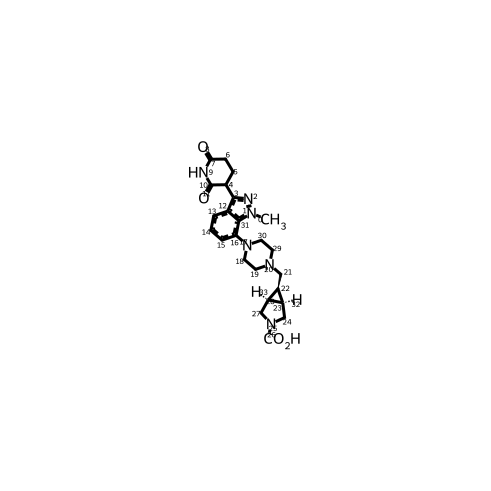 Cn1nc(C2CCC(=O)NC2=O)c2cccc(N3CCN(C[C@H]4[C@H]5CN(C(=O)O)C[C@@H]45)CC3)c21